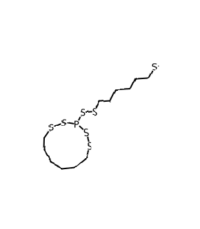 [S]CCCCCCSSP1SSCCCCCCSS1